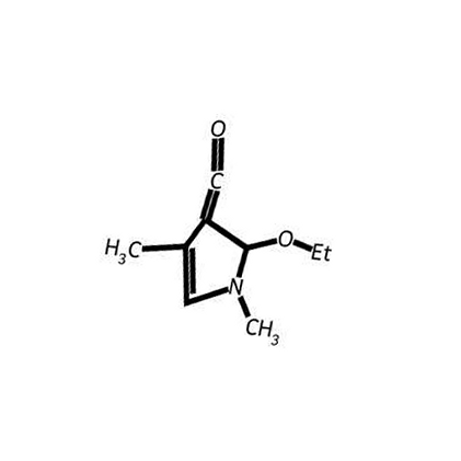 CCOC1C(=C=O)C(C)=CN1C